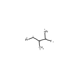 CCCC(F)C(C)CC(C)C